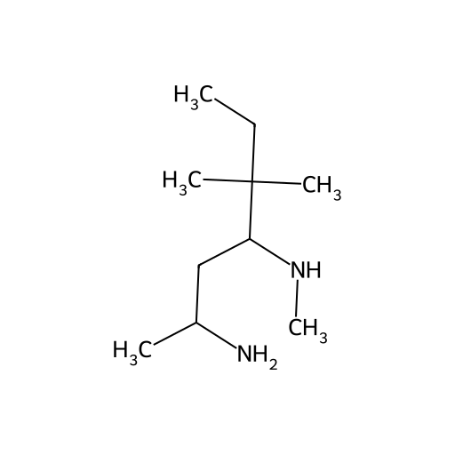 CCC(C)(C)C(CC(C)N)NC